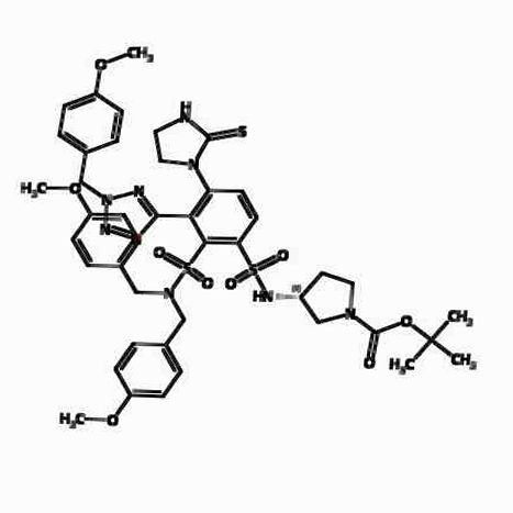 COc1ccc(CN(Cc2ccc(OC)cc2)S(=O)(=O)c2c(S(=O)(=O)N[C@@H]3CCN(C(=O)OC(C)(C)C)C3)ccc(N3CCNC3=S)c2-c2nnn(Cc3ccc(OC)cc3)n2)cc1